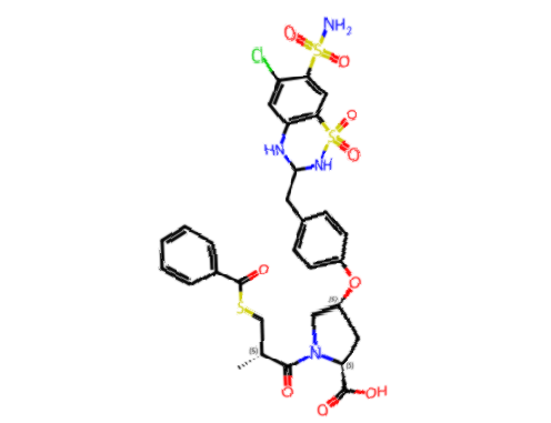 C[C@H](CSC(=O)c1ccccc1)C(=O)N1C[C@@H](Oc2ccc(CC3Nc4cc(Cl)c(S(N)(=O)=O)cc4S(=O)(=O)N3)cc2)C[C@H]1C(=O)O